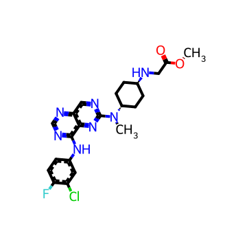 COC(=O)CN[C@H]1CC[C@H](N(C)c2ncc3ncnc(Nc4ccc(F)c(Cl)c4)c3n2)CC1